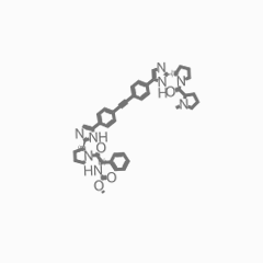 COC(=O)N[C@@H](C(=O)N1CCC[C@H]1c1ncc(-c2ccc(C#Cc3ccc(-c4cnc([C@@H]5CCCN5C(=O)C5CCCN5C)[nH]4)cc3)cc2)[nH]1)c1ccccc1